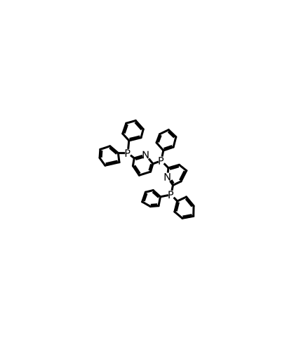 c1ccc(P(c2ccccc2)c2cccc(P(c3ccccc3)c3cccc(P(c4ccccc4)c4ccccc4)n3)n2)cc1